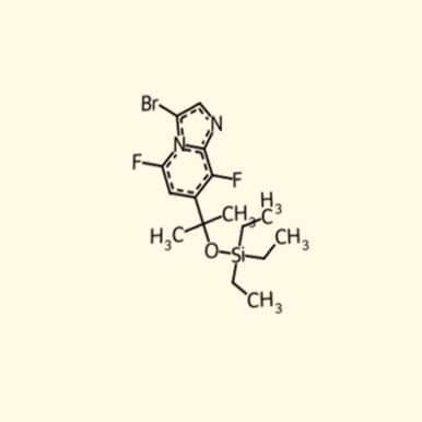 CC[Si](CC)(CC)OC(C)(C)c1cc(F)n2c(Br)cnc2c1F